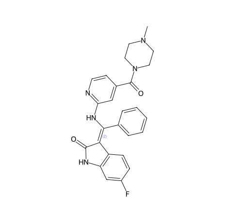 CN1CCN(C(=O)c2ccnc(N/C(=C3\C(=O)Nc4cc(F)ccc43)c3ccccc3)c2)CC1